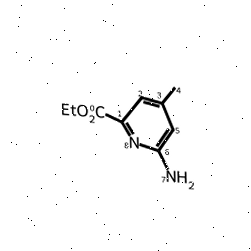 CCOC(=O)c1cc(C)cc(N)n1